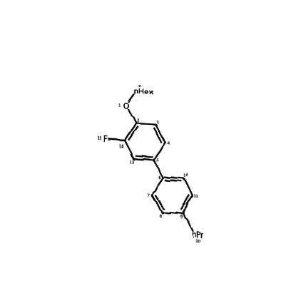 CCCCCCOc1ccc(-c2ccc(CCC)cc2)cc1F